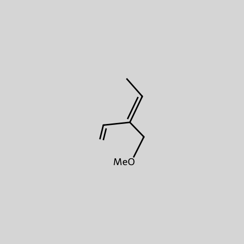 C=C/C(=C\C)COC